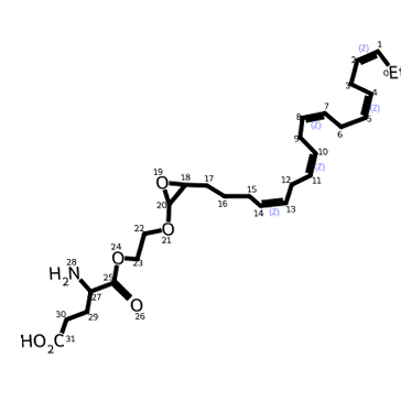 CC/C=C\C/C=C\C/C=C\C/C=C\C/C=C\CCCC1OC1OCCOC(=O)C(N)CCC(=O)O